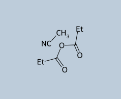 CC#N.CCC(=O)OC(=O)CC